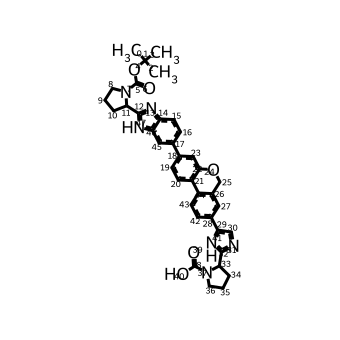 CC(C)(C)OC(=O)N1CCCC1c1nc2ccc(-c3ccc4c(c3)OCc3cc(-c5cnc(C6CCCN6C(=O)O)[nH]5)ccc3-4)cc2[nH]1